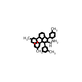 Cc1cccc(-c2c(NN)c(-c3cccc(C)c3)c3cccc(-c4cccc(C)c4)c3c2-c2cccc(C)c2)c1